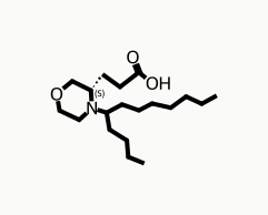 CCCCCCCC(CCCC)N1CCOC[C@@H]1CCC(=O)O